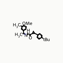 COc1ccc(/C(C)=N\NC(=O)C2CC2c2ccc(C(C)(C)C)cc2)cc1C